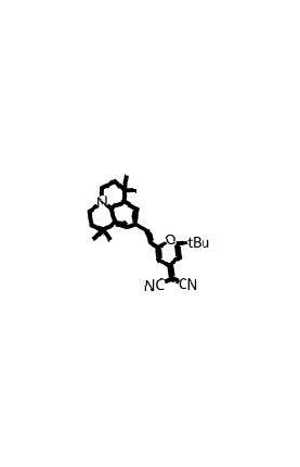 CC(C)(C)C1=CC(=C(C#N)C#N)C=C(/C=C/C2=CC3C4C(=C2)C(C)(C)CCN4CCC3(C)C)O1